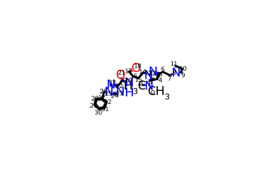 CN(C)c1cc(CCN2CCC2)nn1CCC(C=O)NC(=O)c1ncn(Cc2ccccc2)n1